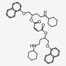 O=C(/C=C\C(=O)OC(CCNC1CCCCC1)COc1cccc2ccccc12)OC(CCNC1CCCCC1)COc1cccc2ccccc12